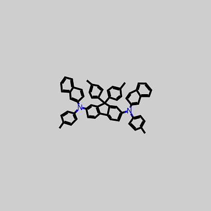 Cc1ccc(N(c2ccc3c(c2)C(c2ccc(C)cc2)(c2ccc(C)cc2)c2cc(N(c4ccc(C)cc4)c4ccc5ccccc5c4)ccc2-3)c2ccc3ccccc3c2)cc1